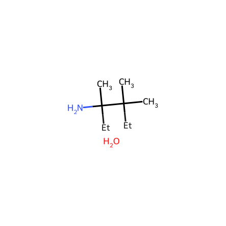 CCC(C)(C)C(C)(N)CC.O